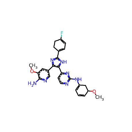 COc1cc(-c2nc(C3=CC=C(F)CC3)[nH]c2-c2ccnc(NC3=CC=CC(OC)C3)n2)cnc1N